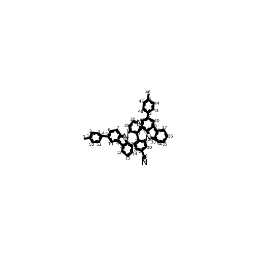 Cc1ccc(-c2ccc3c(c2)c2ccccc2n3-c2ccncc2-c2ccc(C#N)cc2-n2c3ccccc3c3cc(-c4ccc(C)cc4)ccc32)cc1